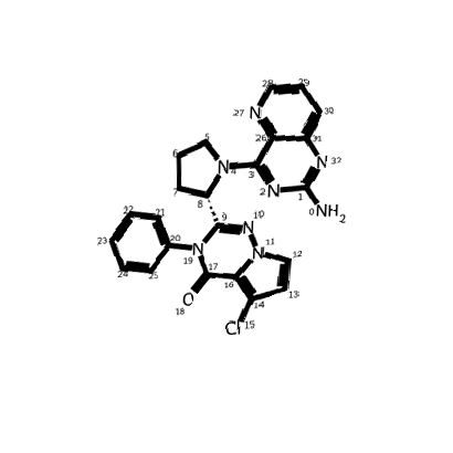 Nc1nc(N2CCC[C@H]2c2nn3ccc(Cl)c3c(=O)n2-c2ccccc2)c2ncccc2n1